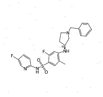 Cc1cc(S(=O)(=O)Nc2ccc(F)cn2)c(F)cc1N[C@H]1CCN(Cc2ccccc2)C1